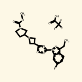 CCc1nn(-c2noc(C3CN(C4CCN(C(=O)OC)C4)C3)n2)c2cc(F)ccc12.O=C(O)C(F)(F)F